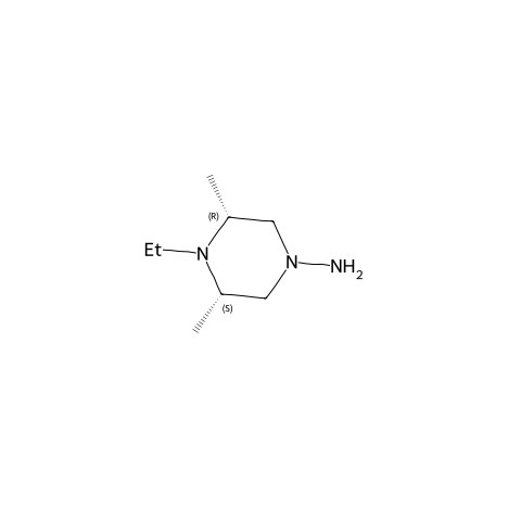 CCN1[C@H](C)CN(N)C[C@@H]1C